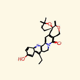 C=C1OCc2c(cc3n(c2=O)Cc2c-3nc3ccc(O)cc3c2CC)[C@]1(CC)OC(C)(C)C